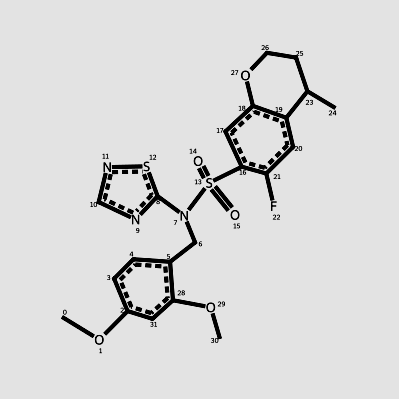 COc1ccc(CN(c2ncns2)S(=O)(=O)c2cc3c(cc2F)C(C)CCO3)c(OC)c1